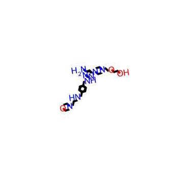 Nc1cc(N2CCN(CCOCCO)CC2)nc(NCc2ccc(CNCCCN3CCOCC3)cc2)n1